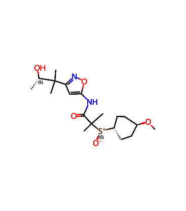 CO[C@H]1CC[C@H]([S@@+]([O-])C(C)(C)C(=O)Nc2cc(C(C)(C)[C@H](C)O)no2)CC1